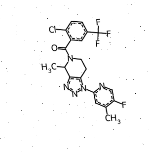 Cc1cc(-n2nnc3c2CCN(C(=O)c2cc(C(F)(F)F)ccc2Cl)C3C)ncc1F